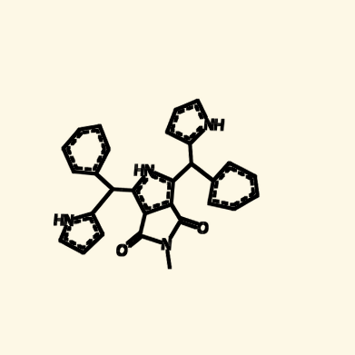 CN1C(=O)c2c(C(c3ccccc3)c3ccc[nH]3)[nH]c(C(c3ccccc3)c3ccc[nH]3)c2C1=O